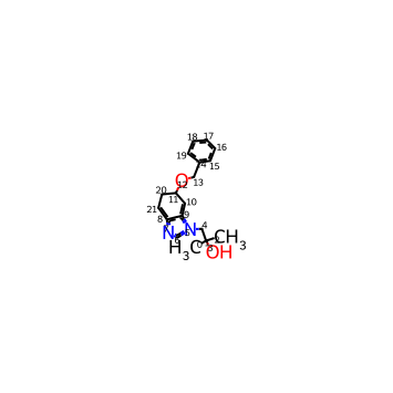 CC(C)(O)Cn1cnc2c1=CC(OCc1ccccc1)CC=2